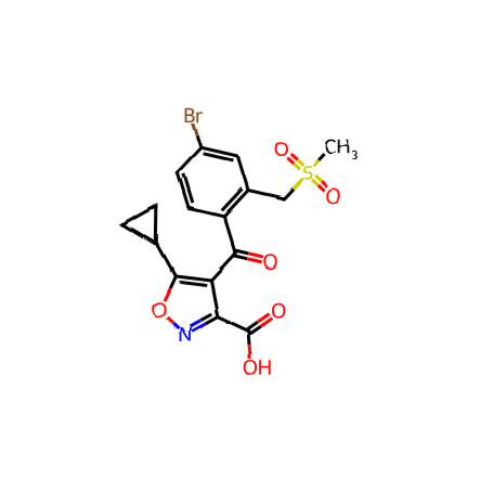 CS(=O)(=O)Cc1cc(Br)ccc1C(=O)c1c(C(=O)O)noc1C1CC1